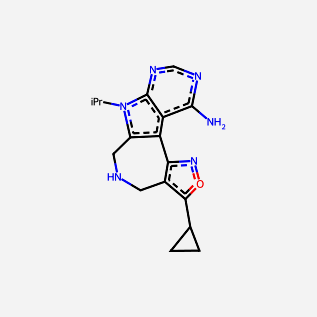 CC(C)n1c2c(c3c(N)ncnc31)-c1noc(C3CC3)c1CNC2